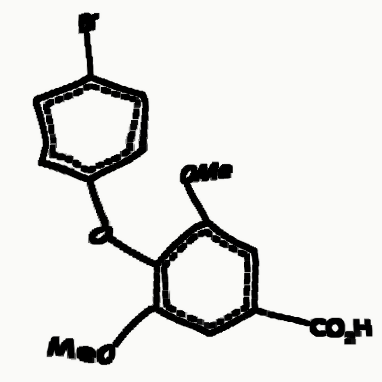 COc1cc(C(=O)O)cc(OC)c1Oc1ccc(Br)cc1